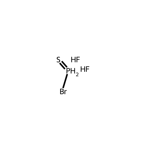 F.F.S=[PH2]Br